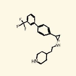 FC(F)(F)c1cccc(-c2ccc(C3C[C@@H]3NCCC3CCNCC3)cc2)c1